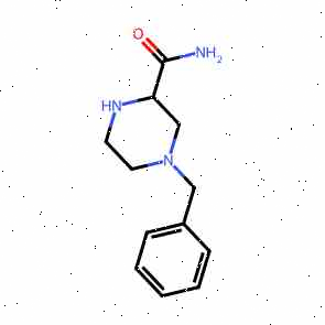 NC(=O)C1CN(Cc2ccccc2)CCN1